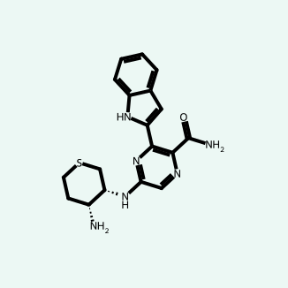 NC(=O)c1ncc(N[C@H]2CSCC[C@H]2N)nc1-c1cc2ccccc2[nH]1